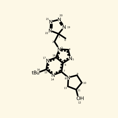 CC1(Cn2cnc3c(N4CCC(O)C4)nc(C(C)(C)C)nc32)N=NN=N1